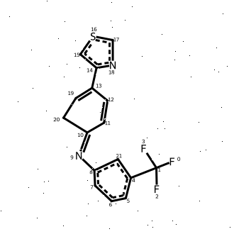 FC(F)(F)c1cccc(N=C2C=CC(c3cscn3)=CC2)c1